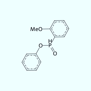 COc1ccccc1[PH](=O)Oc1ccccc1